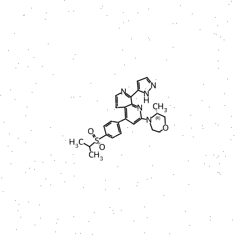 CC(C)S(=O)(=O)c1ccc(-c2cc(N3CCOC[C@H]3C)nc3c(-c4ccn[nH]4)nccc23)cc1